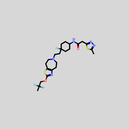 Cc1nnc(CC(=O)NC2CCC(F)(CCN3CCc4nc(OCC(C)(F)F)sc4CC3)CC2)s1